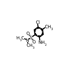 Cc1cc(N)c(S(=O)(=O)N(C)C)cc1Cl